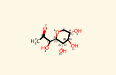 CC(=O)C(O)[C@H]1O[CH][C@H](O)[C@@H](O)[C@@H]1O